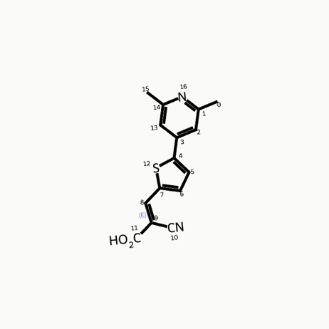 Cc1cc(-c2ccc(/C=C(\C#N)C(=O)O)s2)cc(C)n1